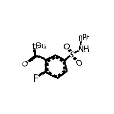 CCCNS(=O)(=O)c1ccc(F)c(C(=O)C(C)(C)C)c1